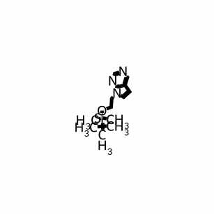 CC(C)(C)[Si](C)(C)OCCn1ccc2cncnc21